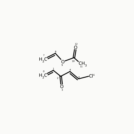 C=CC(=O)C=CCl.C=COC(C)=O